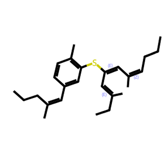 CCC\C=C(C)/C=C(\C=C(/C)CC)Sc1cc(C=C(C)CCC)ccc1C